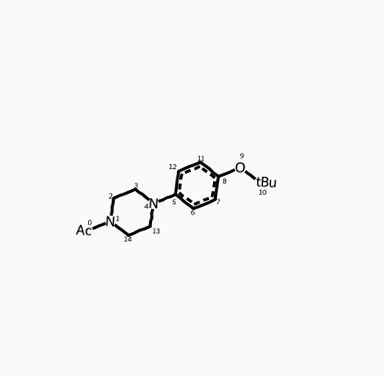 CC(=O)N1CCN(c2ccc(OC(C)(C)C)cc2)CC1